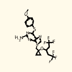 COc1ccc(Sc2nc(N)nc3c2ncn3CC2(OC(CC(F)(F)F)CC(F)(F)F)CC2)cc1